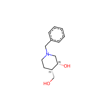 OC[C@@H]1CCN(Cc2ccccc2)C[C@@H]1O